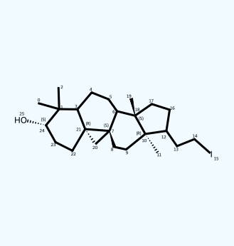 CC1(C)C2CCC3[C@]4(CC[C@]5(C)C(CCI)CC[C@@]35C)C[C@]24CC[C@@H]1O